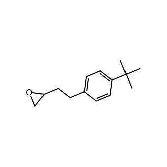 CC(C)(C)c1ccc(CCC2CO2)cc1